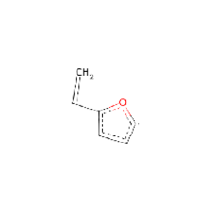 C=Cc1cc[c]o1